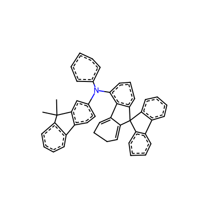 CC1(C)c2ccccc2-c2ccc(N(c3ccccc3)c3cccc4c3C3=CCCC=C3C43c4ccccc4-c4ccccc43)cc21